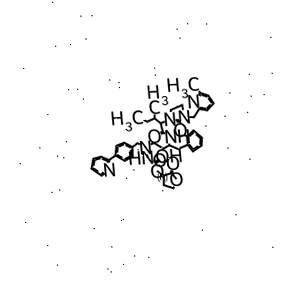 CCC(C)C(C(=O)NC(Cc1ccccc1)C(O)CN(Cc1ccc(-c2ccccn2)cc1)NC(=O)O[C@@H]1CCOC1=O)N1CCN(Cc2cccc(C)n2)C1=O